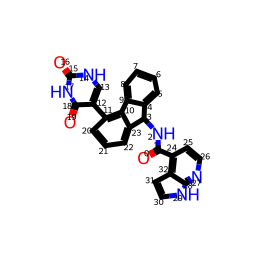 O=C(NC1c2ccccc2-c2c(-c3c[nH]c(=O)[nH]c3=O)cccc21)c1ccnc2[nH]ccc12